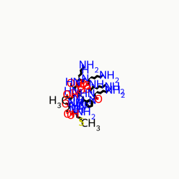 CSCC[C@H](N)C(=O)N[C@@H](CO)C(=O)N[C@H](C(=O)N[C@@H](Cc1c[nH]c2ccccc12)C(=O)N[C@@H](CO)C(=O)N[C@@H](CCCCN)C(=O)N[C@@H](CCCCN)C(=O)N[C@@H](CCCCN)C(=O)N[C@@H](CCCCN)C(N)=O)[C@@H](C)O